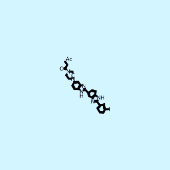 CC(=O)CCC(=O)N1CCN(c2ccc3[nH]c(-c4ccc5[nH]c(-c6cccc(I)c6)nc5c4)nc3c2)CC1